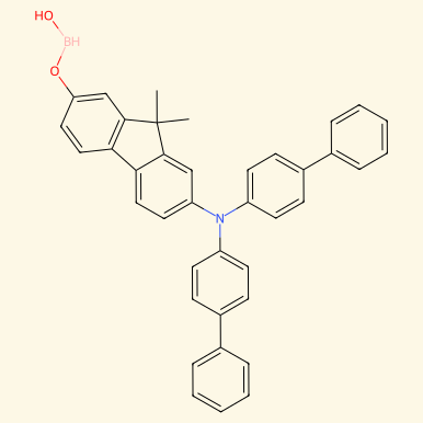 CC1(C)c2cc(OBO)ccc2-c2ccc(N(c3ccc(-c4ccccc4)cc3)c3ccc(-c4ccccc4)cc3)cc21